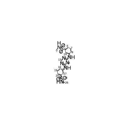 CNS(=O)(=O)c1cccc(Nc2ncnc(Nc3cccc(S(=O)(=O)NC)c3)n2)c1